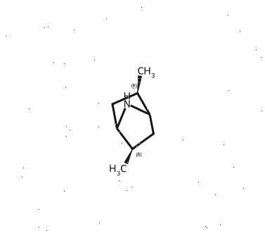 C[C@@H]1CC2NC1C[C@H]2C